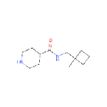 CC1(CNC(=O)C2CCNCC2)CCC1